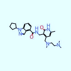 Cc1cc(CN(C)CCN(C)C)c(CNC(=O)c2cccc3c2cnn3C2CCCC2)c(=O)[nH]1